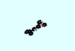 c1ccc(-n2c3ccc(-c4ccc(-c5cc6ccccc6c6ccccc56)cn4)cc3c3cccnc32)cc1